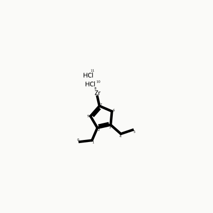 CCC1=C(CC)C[C]([Zr])=C1.Cl.Cl